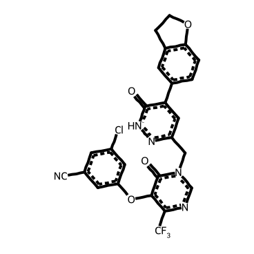 N#Cc1cc(Cl)cc(Oc2c(C(F)(F)F)ncn(Cc3cc(-c4ccc5c(c4)CCO5)c(=O)[nH]n3)c2=O)c1